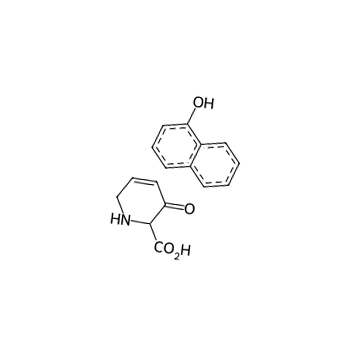 O=C(O)C1NCC=CC1=O.Oc1cccc2ccccc12